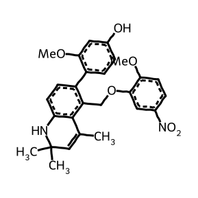 COc1ccc([N+](=O)[O-])cc1OCc1c(-c2ccc(O)cc2OC)ccc2c1C(C)=CC(C)(C)N2